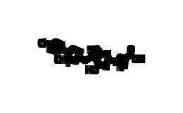 Cc1cc(Cl)ccc1-c1ccc(Cn2ncc3nc(-n4cc(C(=O)O)cn4)nc(O)c32)cc1